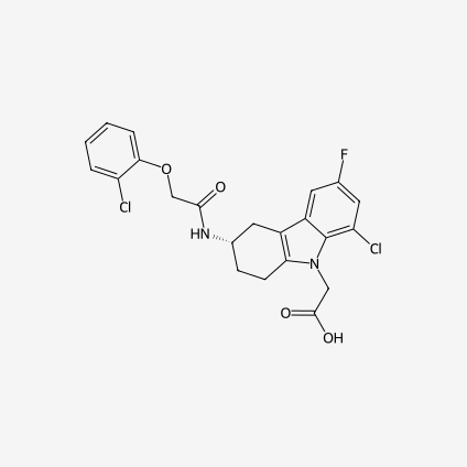 O=C(O)Cn1c2c(c3cc(F)cc(Cl)c31)C[C@@H](NC(=O)COc1ccccc1Cl)CC2